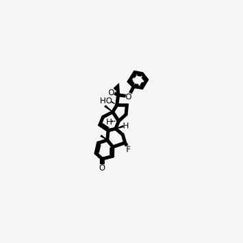 C[C@]12C=CC(=O)C=C1C(F)C[C@@H]1C2=CC[C@@]2(C)[C@H]1CC[C@]2(O)C1(Oc2ccccc2)CO1